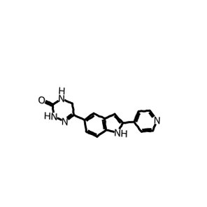 O=C1NCC(c2ccc3[nH]c(-c4ccncc4)cc3c2)=NN1